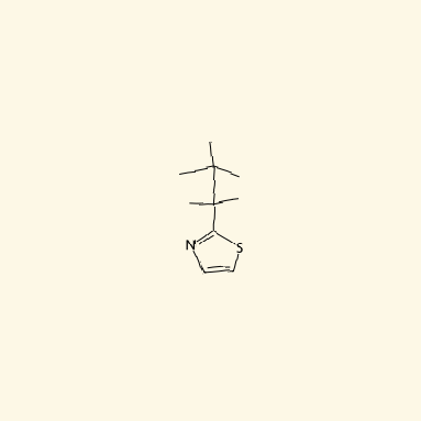 CC(C)(C)C(C)(C)c1nccs1